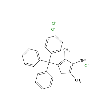 CC1=[C]([Ti+3])C(C)=C(C(c2ccccc2)(c2ccccc2)c2ccccc2)C1.[Cl-].[Cl-].[Cl-]